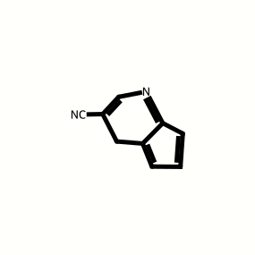 N#CC1=CN=C2C=CC=C2C1